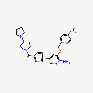 Nc1ncc(-c2ccc(C(=O)N3CCC(N4CCCC4)CC3)cc2)cc1OCc1ccc(C(F)(F)F)cc1